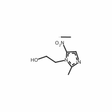 Cc1ncc([N+](=O)[O-])n1CCO.[CH2]C